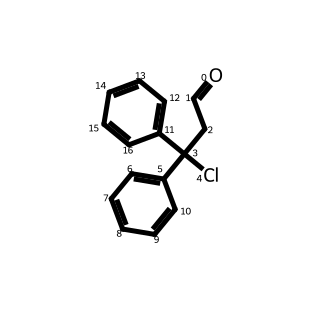 O=CCC(Cl)(c1ccccc1)c1ccccc1